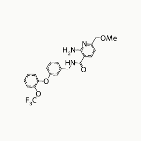 COCc1ccc(C(=O)NCc2cccc(Oc3ccccc3OC(F)(F)F)c2)c(N)n1